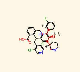 COc1ccc([C@@H](Cc2c(Cl)cncc2Cl)c2c(CNC(C(=O)O[C@H]3CN4CCC3CC4)c3cccc(F)c3)cccc2C(=O)O)cc1OC